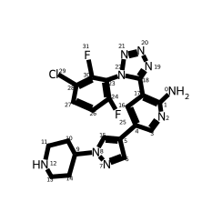 Nc1ncc(-c2cnn(C3CCNCC3)c2)cc1-c1nnnn1-c1c(F)ccc(Cl)c1F